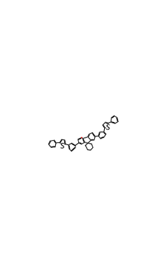 c1ccc(-c2ccc(-c3cccc(-c4ccc5c(c4)C4(CCCCC4)c4cc(-c6cccc(-c7ccc(-c8ccccc8)s7)c6)ccc4-5)c3)s2)cc1